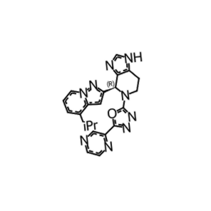 CC(C)c1cccn2nc([C@H]3c4nc[nH]c4CCN3c3nnc(-c4cnccn4)o3)cc12